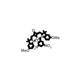 CCN1C(=CC2=C(O)C(=CC3=[N+](Cc4cc([N+](=O)[O-])cc([N+](=O)[O-])c4)c4ccc(OC)cc4C3(C)C)C2=O)C(C)(C)c2cc(OC)ccc21